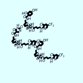 O=C(CCCNc1ncc(C(F)(F)F)cc1Cl)NNS(=O)(=O)c1ccc(CNC(=O)C2C=NC(=O)NC2=O)s1.O=C(CCCNc1ncc(C(F)(F)F)cc1Cl)NNS(=O)(=O)c1ccc(CNC(=O)c2ccc(O)cc2O)s1.O=C(CCCNc1ncc(C(F)(F)F)cc1Cl)NNS(=O)(=O)c1ccc(CNC(=O)c2ccc(O)cn2)s1